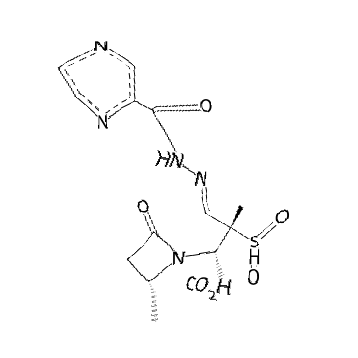 C[C@@H]1CC(=O)N1[C@@H](C(=O)O)[C@](C)(/C=N/NC(=O)c1cnccn1)[SH](=O)=O